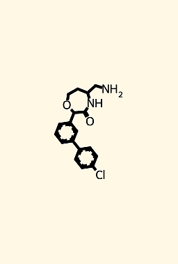 NCC1CCOC(c2cccc(-c3ccc(Cl)cc3)c2)C(=O)N1